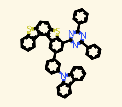 c1ccc(-c2nc(-c3ccccc3)nc(-c3cc(-c4cccc(-n5c6ccccc6c6ccccc65)c4)cc4c3sc3ccc5sc6ccccc6c5c34)n2)cc1